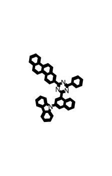 c1ccc(-c2nc(-c3ccc4c(ccc5c6ccccc6ccc45)c3)nc(-c3cc(-n4c5ccccc5c5ccccc54)cc4ccccc34)n2)cc1